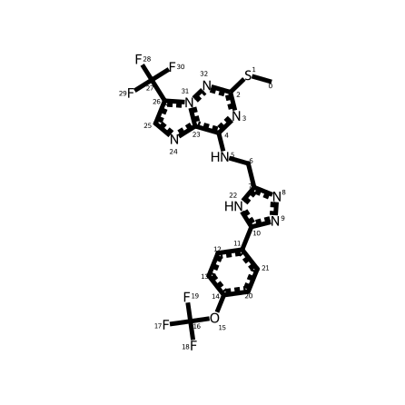 CSc1nc(NCc2nnc(-c3ccc(OC(F)(F)F)cc3)[nH]2)c2ncc(C(F)(F)F)n2n1